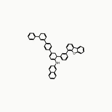 C1=CC(c2ccc(C3=CC=C(Nc4ccc5ccccc5c4)C(c4cccc(-c5cccc6c5oc5ccccc56)c4)C3)cc2)=CC(c2ccccc2)C1